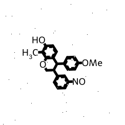 COc1ccc(C2c3ccc(O)c(C)c3OCC2c2cccc(N=O)c2)cc1